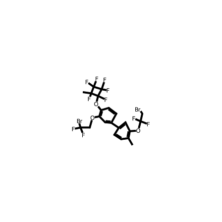 Cc1ccc(-c2ccc(OC3(F)C(C)(F)C(F)(F)C3(F)F)c(OCC(F)(F)Br)c2)cc1OC(F)(F)CBr